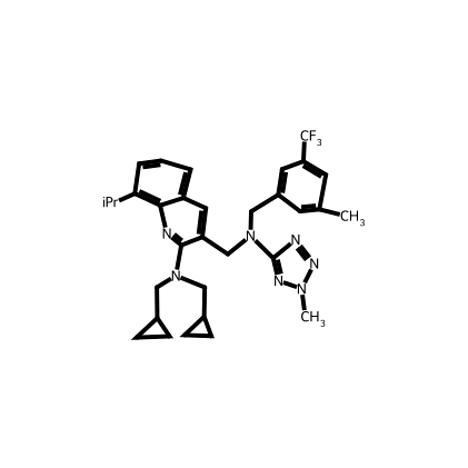 Cc1cc(CN(Cc2cc3cccc(C(C)C)c3nc2N(CC2CC2)CC2CC2)c2nnn(C)n2)cc(C(F)(F)F)c1